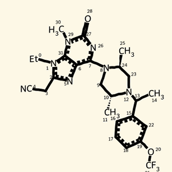 CCn1c(CC#N)nc2c(N3C[C@@H](C)N(C(C)c4cccc(OC(F)(F)F)c4)C[C@@H]3C)nc(=O)n(C)c21